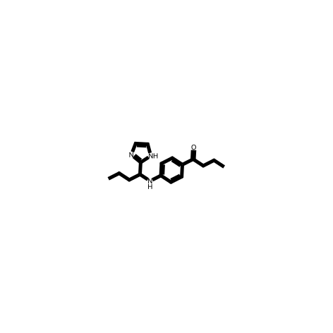 CCCC(=O)c1ccc(NC(CCC)c2ncc[nH]2)cc1